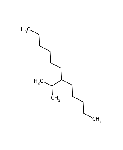 CCCCCCC(CCCCC)C(C)C